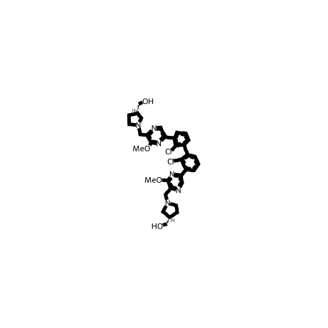 COc1nc(-c2cccc(-c3cccc(-c4cnc(CN5CC[C@H](CO)C5)c(OC)n4)c3Cl)c2Cl)cnc1CN1CC[C@H](CO)C1